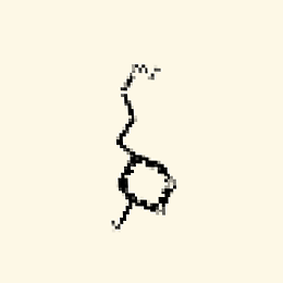 O=C(O)OCCc1cnnc(Br)c1